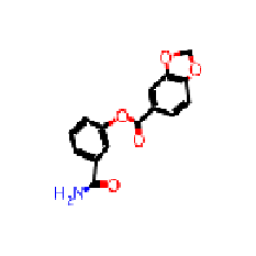 NC(=O)c1cccc(OC(=O)c2ccc3c(c2)OCO3)c1